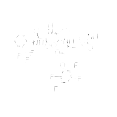 CC(C)C[C@H](NC(=O)C(=O)Nc1ccccc1C(F)(F)F)C(=O)N[C@@H](C[C@@H]1CCNC1=O)C(=O)COc1c(F)c(F)cc(F)c1F